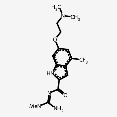 CNC(N)=NC(=O)c1cc2c(C(F)(F)F)cc(OCCN(C)C)cc2[nH]1